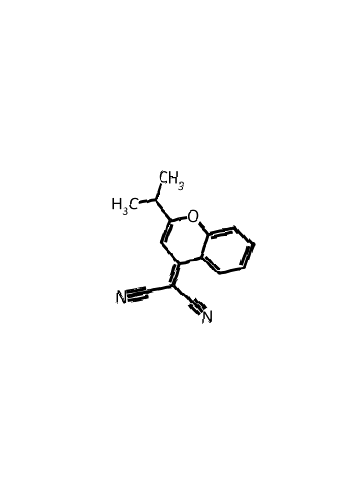 CC(C)C1=CC(=C(C#N)C#N)c2ccccc2O1